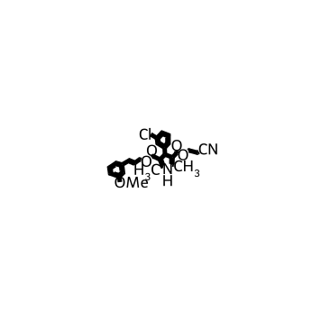 COc1cccc(C=CCOC(=O)C2=C(C)NC(C)=C(C(=O)OCCC#N)C2c2cccc(Cl)c2)c1